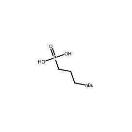 CCCCCC[CH]P(=O)(O)O